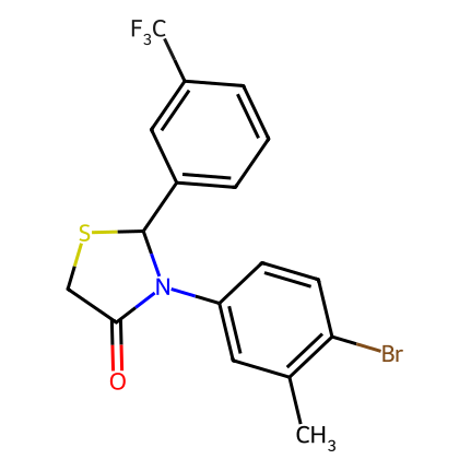 Cc1cc(N2C(=O)CSC2c2cccc(C(F)(F)F)c2)ccc1Br